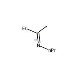 [CH2]C/C(C)=N/CCC